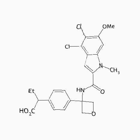 CCC(C(=O)O)c1ccc(C2(NC(=O)c3cc4c(Cl)c(Cl)c(OC)cc4n3C)COC2)cc1